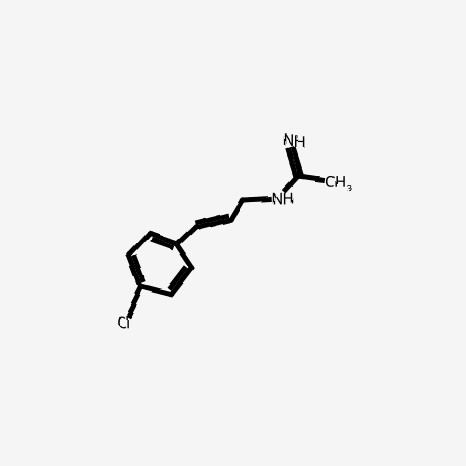 CC(=N)NC/C=C/c1ccc(Cl)cc1